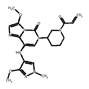 C=CC(=O)N1CCCC(n2cc(Nc3cn(C)nc3OC)c3ncc(OC)n3c2=O)C1